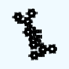 O=S(=O)(O)c1c(/C=C/c2cccc(Nc3nc(Nc4ccccc4)nc(N4CCOCC4)n3)c2S(=O)(=O)O)cccc1Nc1nc(Nc2ccccc2)nc(N2CCOCC2)n1